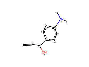 C#CC(O)c1ccc(N(C)C)cc1